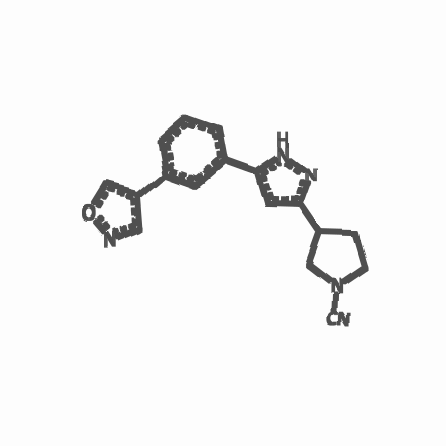 N#CN1CCC(c2cc(-c3cccc(-c4cnoc4)c3)[nH]n2)C1